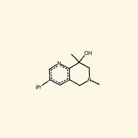 CC(C)c1cnc2c(c1)CN(C)CC2(C)O